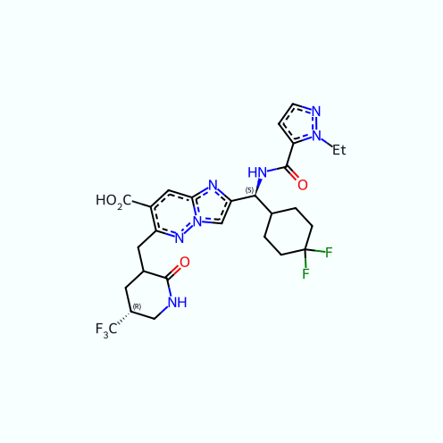 CCn1nccc1C(=O)N[C@H](c1cn2nc(CC3C[C@@H](C(F)(F)F)CNC3=O)c(C(=O)O)cc2n1)C1CCC(F)(F)CC1